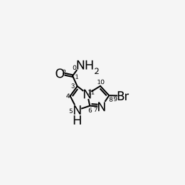 NC(=O)c1c[nH]c2nc(Br)cn12